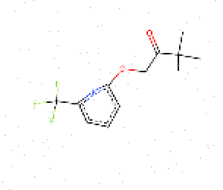 CC(C)(C)C(=O)COc1cccc(C(F)(F)F)n1